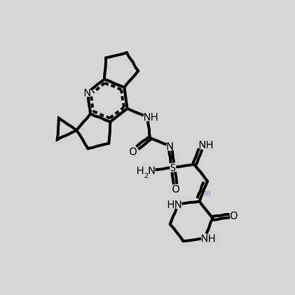 N=C(/C=C1\NCCNC1=O)S(N)(=O)=NC(=O)Nc1c2c(nc3c1CCC31CC1)CCC2